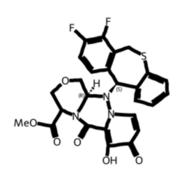 COC(=O)C1COC[C@@H]2N1C(=O)c1c(O)c(=O)ccn1N2[C@@H]1c2ccccc2SCc2c1ccc(F)c2F